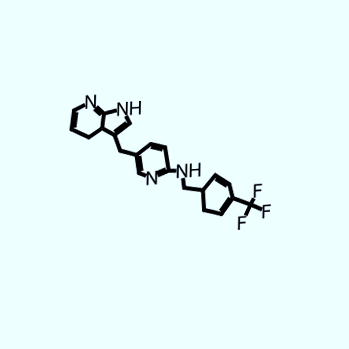 FC(F)(F)C1=CCC(CNc2ccc(CC3=CNC4=NC=CCC34)cn2)C=C1